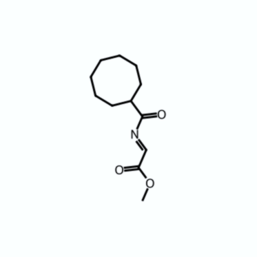 COC(=O)C=NC(=O)C1CCCCCCC1